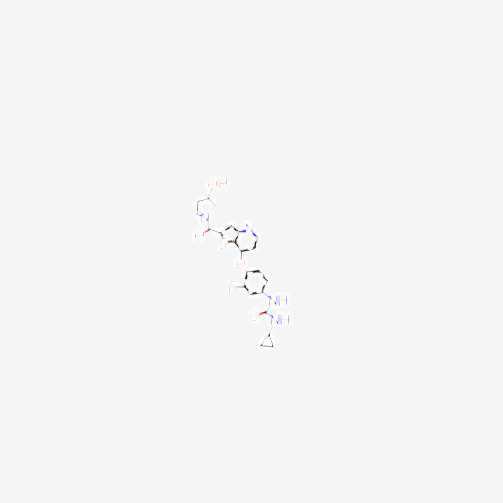 O=C(Nc1ccc(Oc2ccnc3cc(C(=O)N4CCC(O)C4)sc23)c(F)c1)NC1CC1